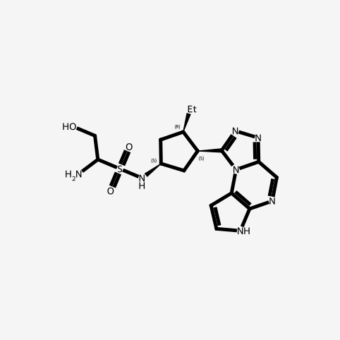 CC[C@@H]1C[C@H](NS(=O)(=O)C(N)CO)C[C@@H]1c1nnc2cnc3[nH]ccc3n12